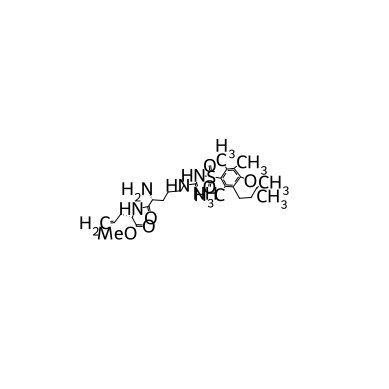 C=CC[C@H](NC(=O)[C@H](N)CCCNC(=N)NS(=O)(=O)c1c(C)c(C)c2c(c1C)CCC(C)(C)O2)C(=O)OC